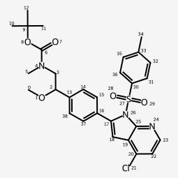 COC(CN(C)C(=O)OC(C)(C)C)c1ccc(-c2cc3c(Cl)ccnc3n2S(=O)(=O)c2ccc(C)cc2)cc1